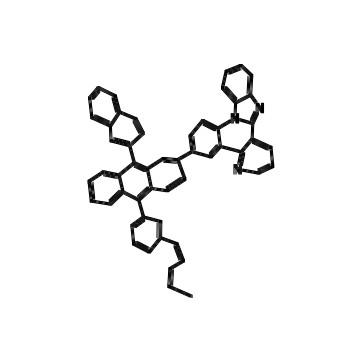 C/C=C\C=C/c1cccc(-c2c3ccccc3c(-c3ccc4ccccc4c3)c3cc(-c4ccc5c(c4)c4ncccc4c4nc6ccccc6n54)ccc23)c1